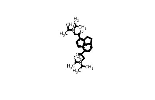 CC(C)N(CC(=O)c1ccc2c(C(=O)CN(C(C)C)C(C)C)ccc3c2c1CC3)C(C)C